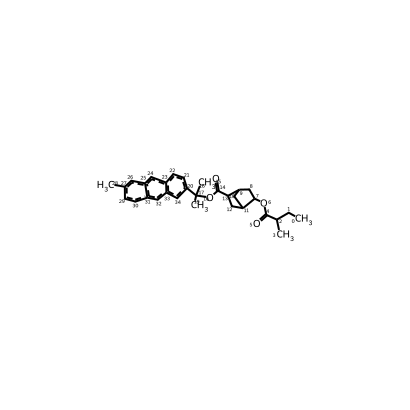 CCC(C)C(=O)OC1CC2CC1CC2C(=O)OC(C)(C)c1ccc2cc3cc(C)ccc3cc2c1